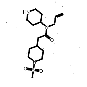 C=CCN(C(=O)CC1CCN(S(C)(=O)=O)CC1)C1CCNCC1